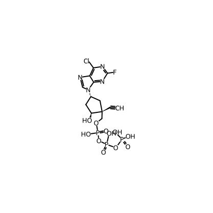 C#C[C@]1(COP(=O)(O)OP(=O)(O)OP(=O)(O)O)C[C@@H](n2cnc3c(Cl)nc(F)nc32)C[C@@H]1O